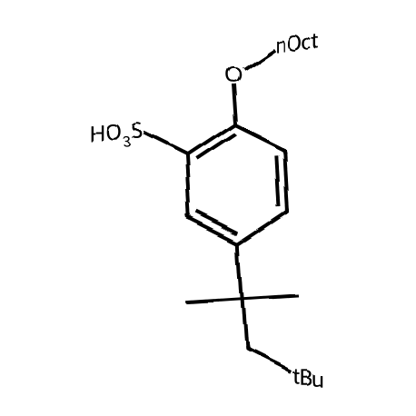 CCCCCCCCOc1ccc(C(C)(C)CC(C)(C)C)cc1S(=O)(=O)O